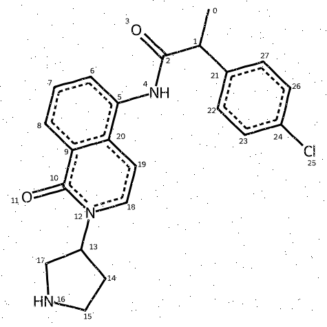 CC(C(=O)Nc1cccc2c(=O)n(C3CCNC3)ccc12)c1ccc(Cl)cc1